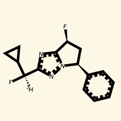 [2H][C@@](F)(c1nc2n(n1)[C@H](c1ccccc1)C[C@@H]2F)C1CC1